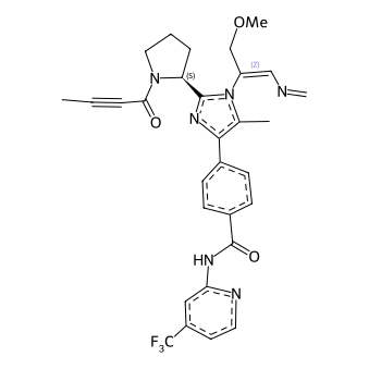 C=N/C=C(/COC)n1c([C@@H]2CCCN2C(=O)C#CC)nc(-c2ccc(C(=O)Nc3cc(C(F)(F)F)ccn3)cc2)c1C